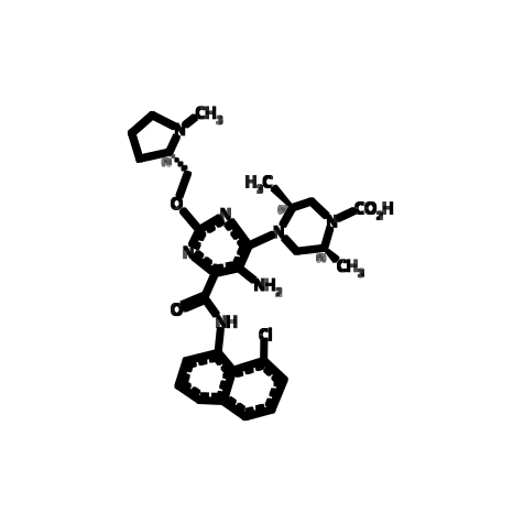 C[C@H]1CN(c2nc(OC[C@@H]3CCCN3C)nc(C(=O)Nc3cccc4cccc(Cl)c34)c2N)[C@@H](C)CN1C(=O)O